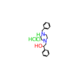 Cl.Cl.OC(CN1CCN(Cc2ccccc2)CC1)c1ccccc1